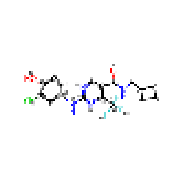 O=C(NCC1CCC1)c1cnc(Nc2ccc(O)c(Cl)c2)nc1C(F)(F)F